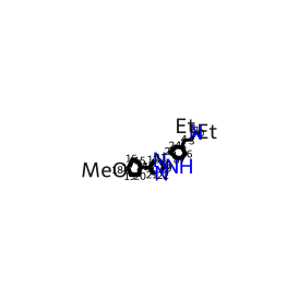 CCN(CC)CCc1ccc(Nc2ncc(-c3ccc(OC)cc3)cn2)cc1